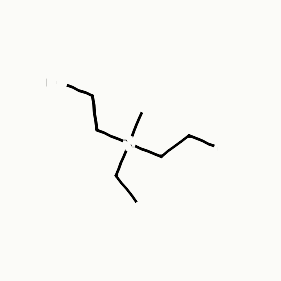 CC[N+](C)(CCO)CCO